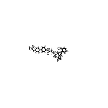 COC(=O)CC1CCC(c2ccc(NC(=O)CCNC(=O)c3cn(-c4ccccc4Cl)nc3C(F)(F)F)cc2)CC1